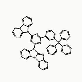 c1ccc(S(c2ccccc2)(c2ccccc2)c2cccc(-c3nc(-n4c5ccccc5c5ccccc54)nc(-n4c5ccccc5n5c6ccccc6nc45)n3)c2)cc1